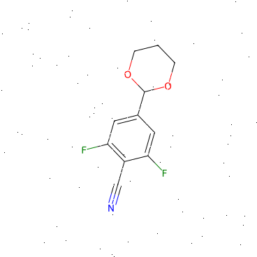 N#Cc1c(F)cc(C2OCCCO2)cc1F